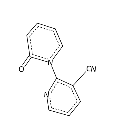 N#Cc1cccnc1-n1ccccc1=O